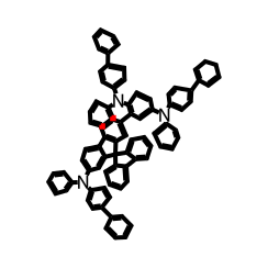 C1=CC(c2ccc(N(c3ccccc3)c3ccc(N(c4ccccc4)c4ccc(-c5ccccc5)cc4)c(-c4ccc5c(c4)C4(c6ccccc6-c6ccccc64)c4cc(N(c6ccccc6)c6ccc(-c7ccccc7)cc6)ccc4-5)c3)cc2)=CCC1